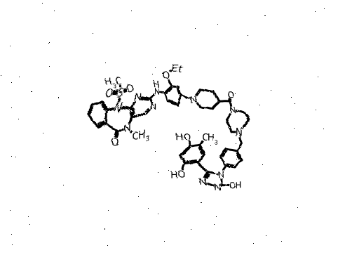 CCOc1cc(N2CCC(C(=O)N3CCN(Cc4ccc(-n5c(O)nnc5-c5cc(C)c(O)cc5O)cc4)CC3)CC2)ccc1Nc1ncc2c(n1)N(S(C)(=O)=O)c1ccccc1C(=O)N2C